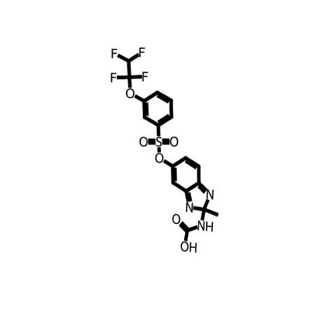 CC1(NC(=O)O)N=c2ccc(OS(=O)(=O)c3cccc(OC(F)(F)C(F)F)c3)cc2=N1